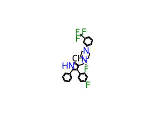 Cc1[nH]c(-c2ccccc2)c(-c2ccc(F)cc2F)c1CN1CCN(c2cccc(C(F)(F)F)c2)CC1